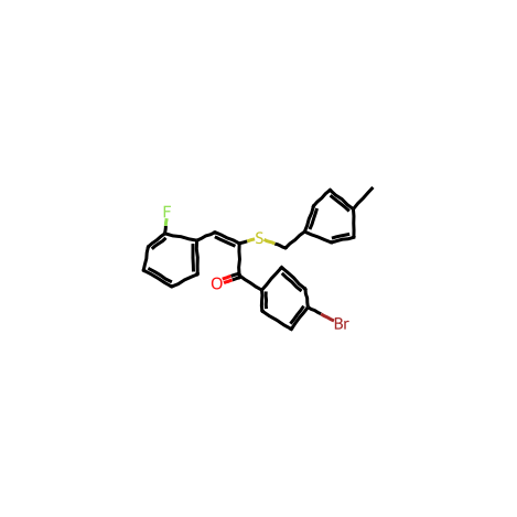 Cc1ccc(CS/C(=C/c2ccccc2F)C(=O)c2ccc(Br)cc2)cc1